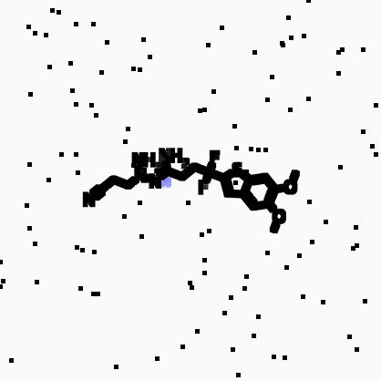 COc1cc2cc(C(F)(F)CC/C(N)=N/N(N)CCC#N)sc2cc1OC